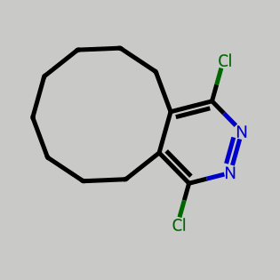 Clc1nnc(Cl)c2c1CCCCCCCC2